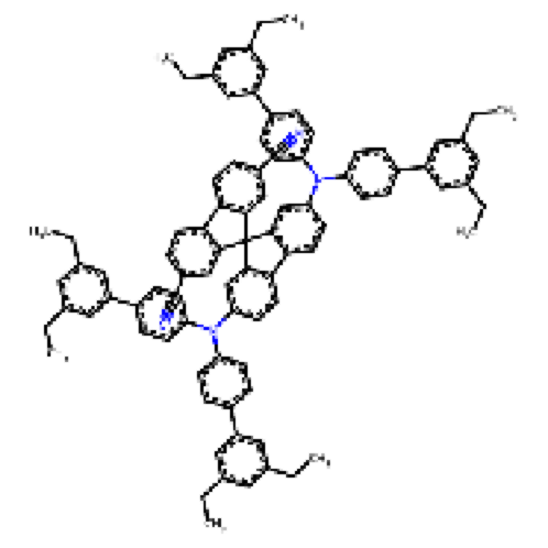 CCc1cc(CC)cc(-c2ccc(N(c3ccc(-c4cc(CC)cc(CC)c4)cc3)c3ccc4c(c3)C3(c5cc(C#N)ccc5-c5ccc(C#N)cc53)c3cc(N(c5ccc(-c6cc(CC)cc(CC)c6)cc5)c5ccc(-c6cc(CC)cc(CC)c6)cc5)ccc3-4)cc2)c1